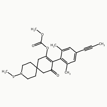 CC#Cc1cc(C)c(C2=C(OC(=O)OC)CC3(CCN(SC)CC3)CC2=O)c(C)c1